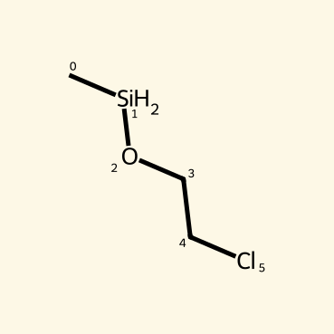 C[SiH2]OCCCl